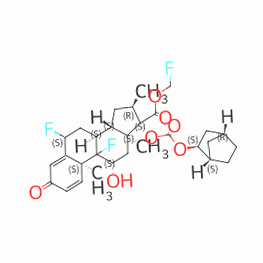 C[C@@H]1C[C@H]2[C@@H]3C[C@H](F)C4=CC(=O)C=C[C@]4(C)C3(F)[C@@H](O)C[C@]2(C)[C@]1(OC(=O)O[C@H]1C[C@@H]2CC[C@H]1C2)C(=O)OCF